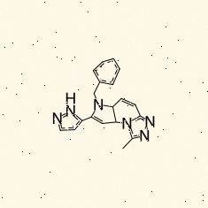 Cc1nnc2n1C1C=C(c3ccn[nH]3)N(Cc3ccccc3)C1C=C2